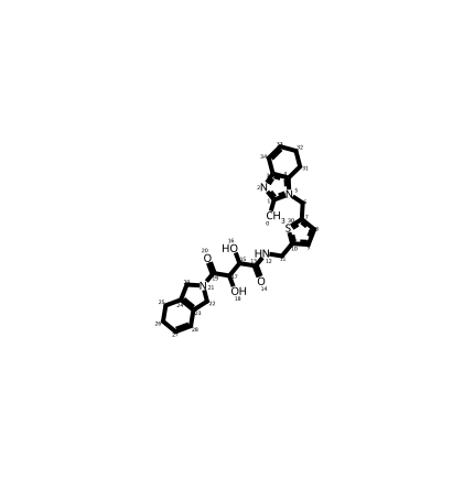 Cc1nc2c(n1Cc1ccc(CNC(=O)C(O)C(O)C(=O)N3CC4=C(CCC=C4)C3)s1)CCC=C2